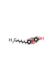 CCCCCCCCc1ccc(S(=O)(=O)c2ccc(O)cc2)cc1